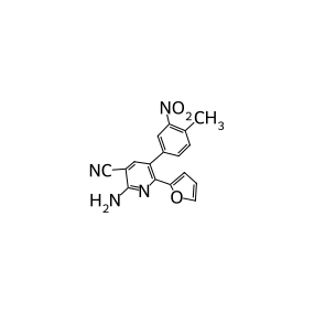 Cc1ccc(-c2cc(C#N)c(N)nc2-c2ccco2)cc1[N+](=O)[O-]